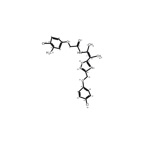 C/C(NC(=O)COc1ccc(Cl)c(C)c1)=C(\C)c1nc(COc2ccc(Cl)cc2)no1